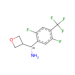 N[C@@H](c1cc(F)c(C(F)(F)F)cc1F)C1COC1